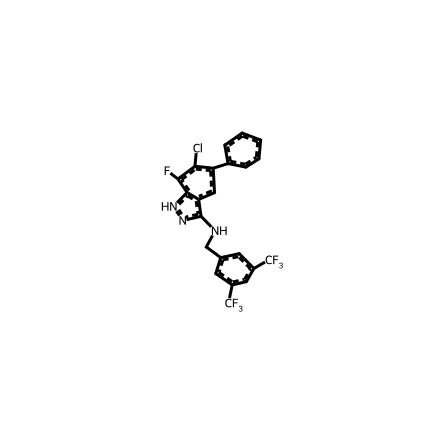 Fc1c(Cl)c(-c2ccccc2)cc2c(NCc3cc(C(F)(F)F)cc(C(F)(F)F)c3)n[nH]c12